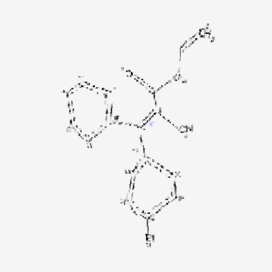 C=COC(=O)/C(C#N)=C(\c1ccccc1)c1ccc(CC)cc1